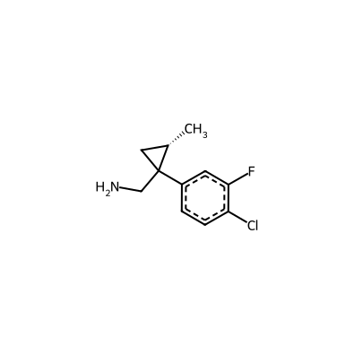 C[C@H]1CC1(CN)c1ccc(Cl)c(F)c1